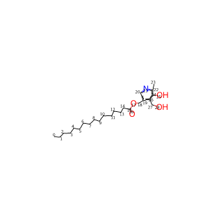 CCCCCCCCCCCCCCCC(=O)OCc1cnc(C)c(O)c1CO